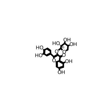 O=c1c(OC2OCC(O)C(O)[C@H]2O)c(-c2ccc(O)c(O)c2)oc2cc(O)cc(O)c12